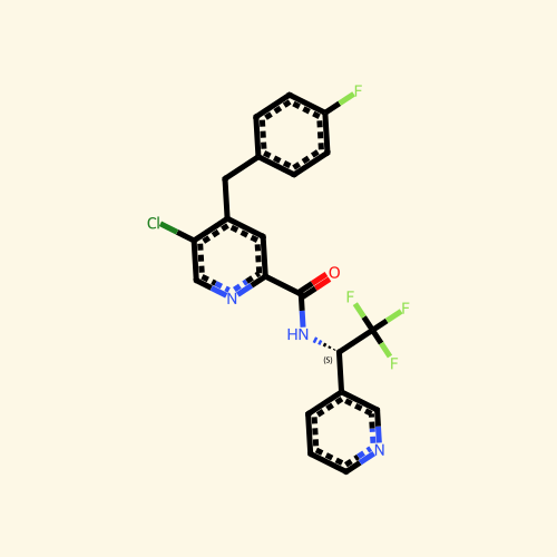 O=C(N[C@@H](c1cccnc1)C(F)(F)F)c1cc(Cc2ccc(F)cc2)c(Cl)cn1